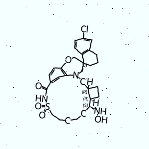 O=C1NS(=O)(=O)CCCCC[C@H](NO)[C@@H]2CC[C@H]2CN2C[C@@]3(CCCc4cc(Cl)ccc43)COc3ccc1cc32